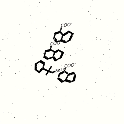 CC(C)([CH2][Sn+3])c1ccccc1.O=C([O-])c1cccc2ccccc12.O=C([O-])c1cccc2ccccc12.O=C([O-])c1cccc2ccccc12